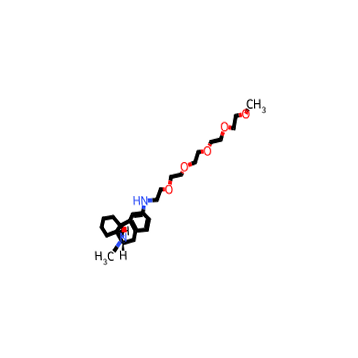 COCCOCCOCCOCCOCCNc1ccc2c(c1)C13CCCC[C@H]1[C@@H](C2)N(C)CC3